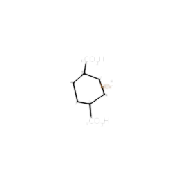 Br.O=C(O)C1CCC(C(=O)O)CC1